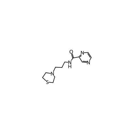 O=C(NCCCN1CCSCC1)c1cnccn1